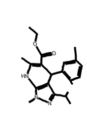 CCOC(=O)C1=C(C)Nc2c(c(C(C)C)nn2C)C1c1cc(C)ccc1C